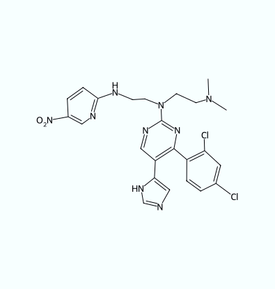 CN(C)CCN(CCNc1ccc([N+](=O)[O-])cn1)c1ncc(-c2cnc[nH]2)c(-c2ccc(Cl)cc2Cl)n1